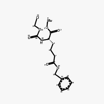 CC(C)(C)OC(=O)[C@H](CCCC(=O)OCc1ccccc1)NC(=O)OCCl